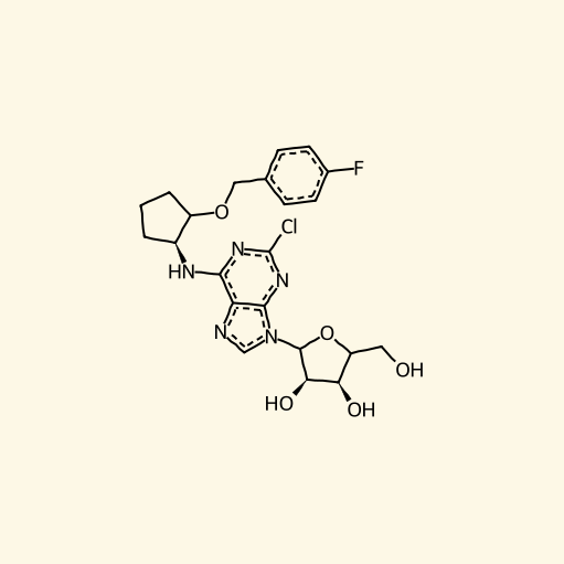 OCC1OC(n2cnc3c(N[C@H]4CCCC4OCc4ccc(F)cc4)nc(Cl)nc32)[C@H](O)[C@@H]1O